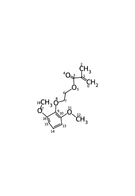 C=C(C)C(=O)OCCOc1c(OC)cccc1OC